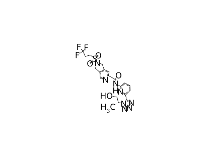 C[C@H](CO)n1nnnc1-c1cccc(NC(=O)c2cc3c(cn2)CN(S(=O)(=O)CCC(F)(F)F)C3)n1